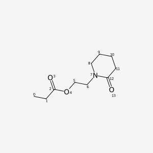 CCC(=O)OCCN1CCCCC1=O